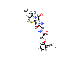 CC(=O)OCC1=C(C(=O)O)N2C(=O)[C@@H](NC(=O)CNC(=O)COc3ccccc3[N+](=O)[O-])[C@H]2SC1